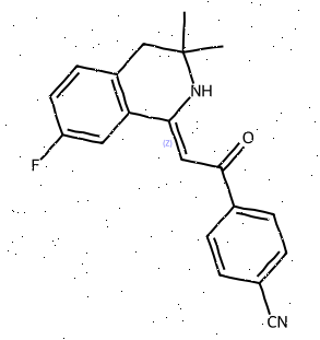 CC1(C)Cc2ccc(F)cc2/C(=C/C(=O)c2ccc(C#N)cc2)N1